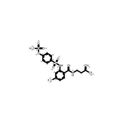 C=C(CCNC(=O)c1ccc(C(F)(F)F)cc1NS(=O)(=O)c1ccc(OS(C)(=O)=O)cc1)C(F)(F)F